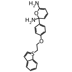 NC1=CC=CC(N)(c2ccc(OCCS3=C=Cc4ccccc43)cc2)O1